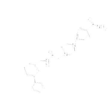 NC(=O)c1ccc(N2CCN(CC(=O)NCc3cccc(-c4ccccc4)c3)CC2)cc1